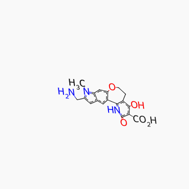 Cn1c(CN)cc2cc3c(cc21)OCCc1c-3[nH]c(=O)c(C(=O)O)c1O